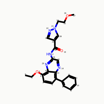 CCOc1ccc(-c2ccccc2)c2ncc(NC(=O)c3cnn(CCOC)c3)nc12